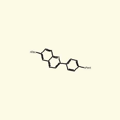 CCCCCCCCCCc1ccc2nc(-c3ccc(CCCCC)cc3)ccc2c1